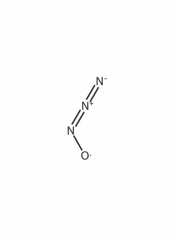 [N-]=[N+]=N[O]